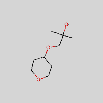 CC(C)([O])COC1CCOCC1